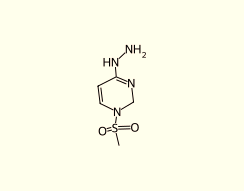 CS(=O)(=O)N1C=CC(NN)=NC1